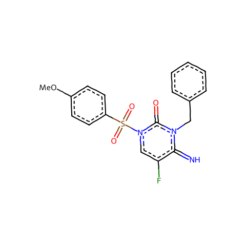 COc1ccc(S(=O)(=O)n2cc(F)c(=N)n(Cc3ccccc3)c2=O)cc1